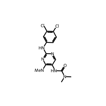 CNc1nc(Nc2ccc(Cl)c(Cl)c2)ncc1NC(=O)N(C)C